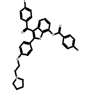 O=C(Oc1cccc2c(C(=O)c3ccc(F)cc3)c(-c3ccc(OCCN4CCCC4)cc3)sc12)c1ccc(F)cc1